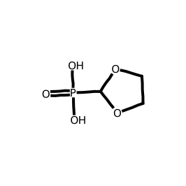 O=P(O)(O)C1OCCO1